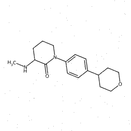 CNC1CCCN(c2ccc(C3CCOCC3)cc2)C1=O